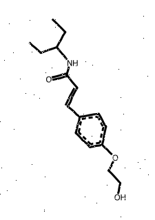 CCC(CC)NC(=O)C=Cc1ccc(OCCO)cc1